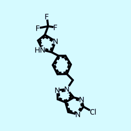 FC(F)(F)c1c[nH]c(-c2ccc(Cn3ncc4cnc(Cl)nc43)cc2)n1